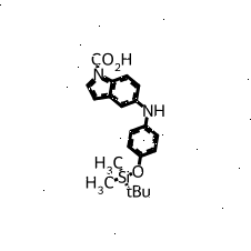 CC(C)(C)[Si](C)(C)Oc1ccc(Nc2ccc3c(ccn3C(=O)O)c2)cc1